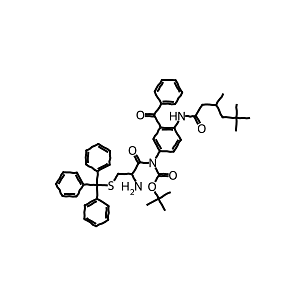 CC(CC(=O)Nc1ccc(N(C(=O)OC(C)(C)C)C(=O)C(N)CSC(c2ccccc2)(c2ccccc2)c2ccccc2)cc1C(=O)c1ccccc1)CC(C)(C)C